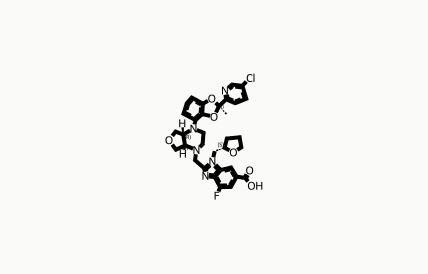 C[C@@]1(c2ccc(Cl)cn2)Oc2cccc(N3CCN(Cc4nc5c(F)cc(C(=O)O)cc5n4C[C@@H]4CCCO4)[C@@H]4COC[C@@H]43)c2O1